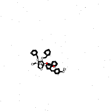 CCOc1ccc(Cc2cc([C@]34OC[C@](CCl)(O3)[C@@H](OCc3ccccc3)[C@H](OCc3ccccc3)[C@H]4OCc3ccccc3)ccc2Cl)cc1